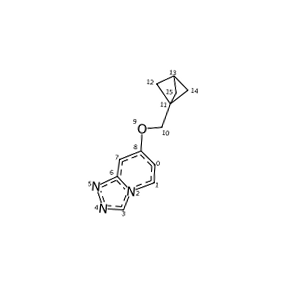 c1cn2cnnc2cc1OCC12CC(C1)C2